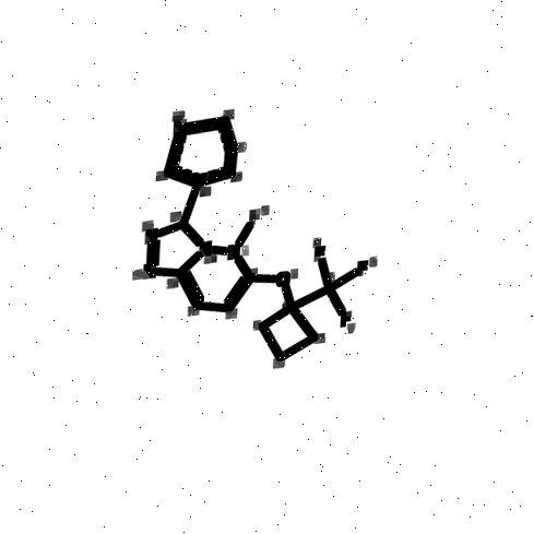 FN1C(OC2(C(F)(F)F)CCC2)=CC=C2N=NC(c3cccnc3)N21